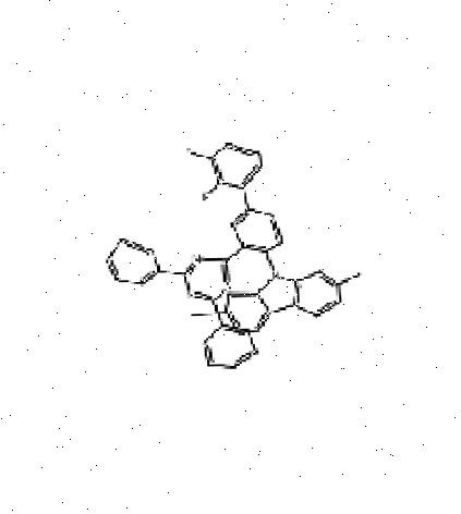 Cc1ccc2c3ccc(C)cc3n(-c3ccc(-c4cccc(F)c4F)cc3-c3nc(-c4ccccc4)nc(-c4ccccc4)n3)c2c1